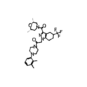 Cc1cccc(N2CCN(C(=O)Cn3nc(C(=O)N4C[C@@H](C)O[C@@H](C)C4)c4c3CCC(C(F)(F)F)C4)CC2)c1C